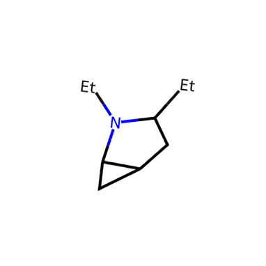 CCC1CC2CC2N1CC